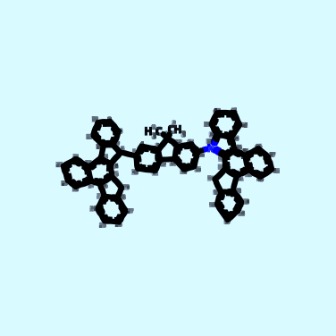 CC1(C)c2cc(C3c4ccccc4-c4c3c3c(c5ccccc45)-c4ccccc4C3)ccc2-c2ccc(-n3c4ccccc4c4c5ccccc5c5c(c43)Cc3ccccc3-5)cc21